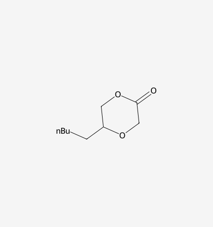 CCCCCC1COC(=O)CO1